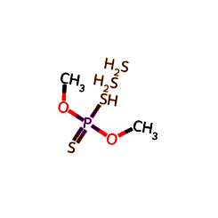 COP(=S)(S)OC.S.S